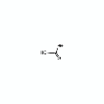 O=C(O)[PH]